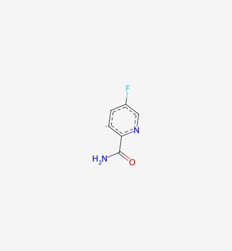 NC(=O)c1[c]cc(F)cn1